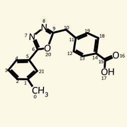 Cc1cccc(-c2nnc(Cc3ccc(C(=O)O)cc3)o2)c1